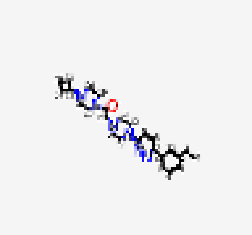 CCc1cccc(-c2ccc(N3CCN(CC(=O)N4CCN(C5CCC5)CC4)CC3)nn2)c1